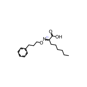 CCCCCC/C(=N\OCCCc1ccccc1)C(=O)O